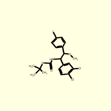 COC(c1ccc(I)cc1)C(NC(=O)OC(C)(C)C)c1ccc(Cl)c(Cl)c1